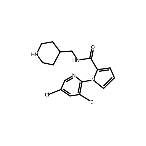 O=C(NCC1CCNCC1)c1cccn1-c1ncc(Cl)cc1Cl